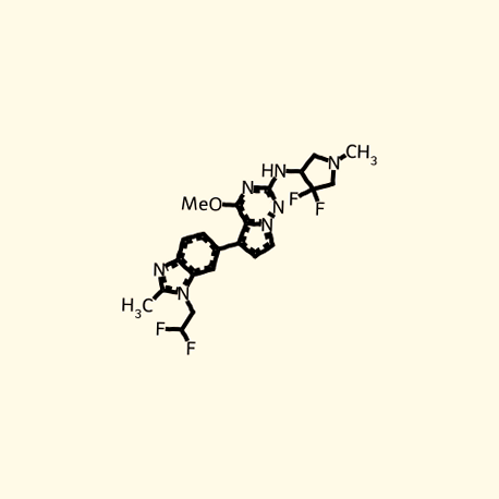 COc1nc(NC2CN(C)CC2(F)F)nn2ccc(-c3ccc4nc(C)n(CC(F)F)c4c3)c12